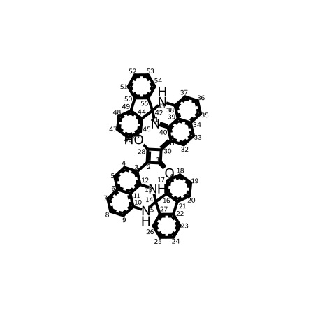 O=C1C(c2ccc3cccc4c3c2NC2(N4)c3ccccc3-c3ccccc32)=C(O)/C1=c1/ccc2cccc3c2c1=NC1(N3)c2ccccc2-c2ccccc21